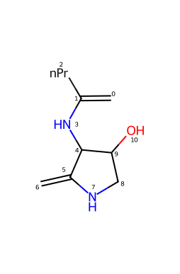 C=C(CCC)NC1C(=C)NCC1O